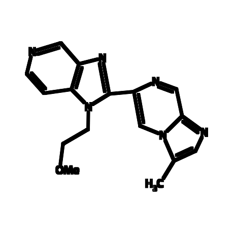 COCCn1c(-c2cn3c(C)cnc3cn2)nc2cnccc21